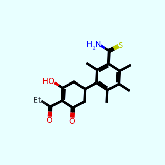 CCC(=O)C1=C(O)CC(c2c(C)c(C)c(C)c(C(N)=S)c2C)CC1=O